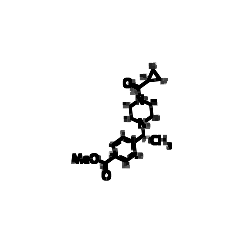 COC(=O)c1ccc([C@@H](C)N2CCN(C(=O)C3CC3)CC2)cc1